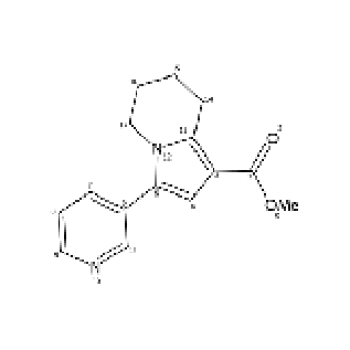 COC(=O)c1cc(-c2cccnc2)n2c1CCCC2